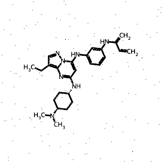 C=CC(=C)Nc1cccc(Nc2cc(N[C@H]3CC[C@H](N(C)C)CC3)nc3c(CC)cnn23)c1